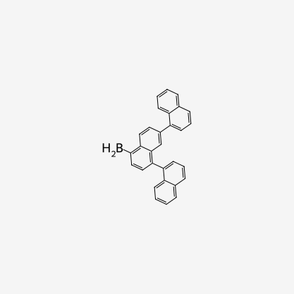 Bc1ccc(-c2cccc3ccccc23)c2cc(-c3cccc4ccccc34)ccc12